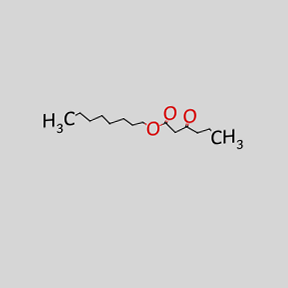 CCCCCCCCOC(=O)CC(=O)CCC